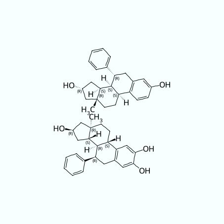 C[C@]12CC[C@@H]3c4cc(O)c(O)cc4C[C@@H](c4ccccc4)[C@H]3[C@@H]1C[C@@H](O)C2.C[C@]12CC[C@@H]3c4ccc(O)cc4C[C@@H](c4ccccc4)[C@@H]3[C@@H]1C[C@@H](O)C2